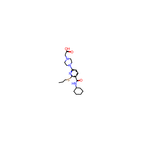 CCCSc1nc(N2CCN(CC(=O)O)CC2)ccc1C(=O)NC1CCCCC1